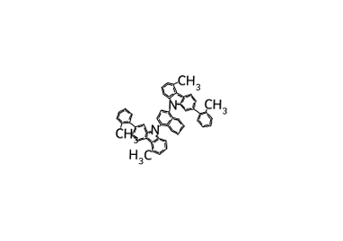 Cc1ccccc1-c1ccc2c3c(C)cccc3n(-c3ccc(-n4c5cc(-c6ccccc6C)ccc5c5c(C)cccc54)c4ccccc34)c2c1